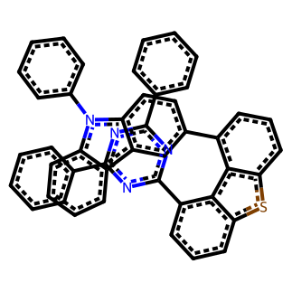 c1ccc(-c2nc(-c3ccccc3)nc(-c3cccc4sc5cccc(-c6ccc7c(c6)c6ccccc6n7-c6ccccc6)c5c34)n2)cc1